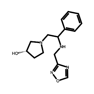 O[C@H]1CCN(CC(NCc2ncon2)c2ccccc2)C1